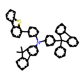 CC1(C)c2ccccc2-c2ccc(N(c3ccc(C4(c5ccccc5)c5ccccc5-c5ccccc54)cc3)c3cccc(-c4cccc5c4sc4ccccc45)c3)cc21